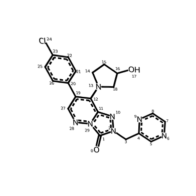 O=c1n(Cc2cnccn2)nc2c(N3CCC(O)C3)c(-c3ccc(Cl)cc3)cnn12